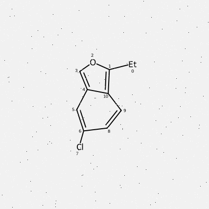 [CH2]Cc1occ2cc(Cl)ccc12